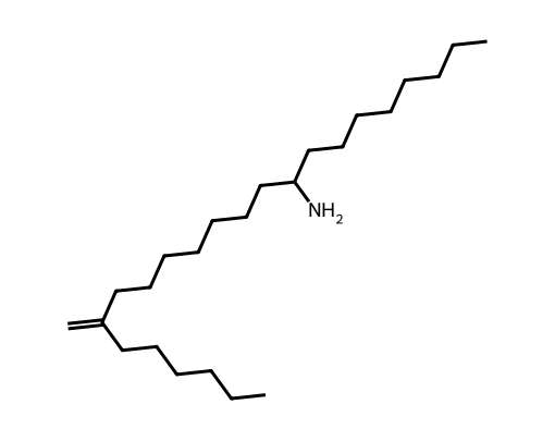 C=C(CCCCCC)CCCCCCCC(N)CCCCCCCC